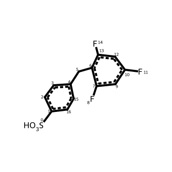 O=S(=O)(O)c1ccc(Cc2c(F)cc(F)cc2F)cc1